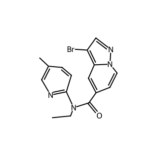 CCN(C(=O)c1ccn2ncc(Br)c2c1)c1ccc(C)cn1